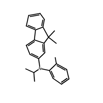 Cc1ccccc1N(c1ccc2c(c1)C(C)(C)c1ccccc1-2)C(C)C